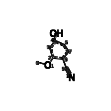 COc1cc(O)ccc1C#N